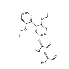 C=CC(=O)O.C=CC(=O)O.CCOc1ccccc1-c1ccccc1OCC